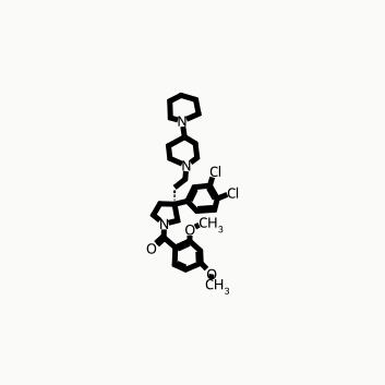 COc1ccc(C(=O)N2CC[C@@](CCN3CCC(N4CCCCC4)CC3)(c3ccc(Cl)c(Cl)c3)C2)c(OC)c1